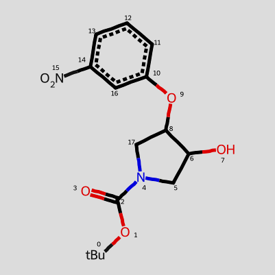 CC(C)(C)OC(=O)N1CC(O)C(Oc2cccc([N+](=O)[O-])c2)C1